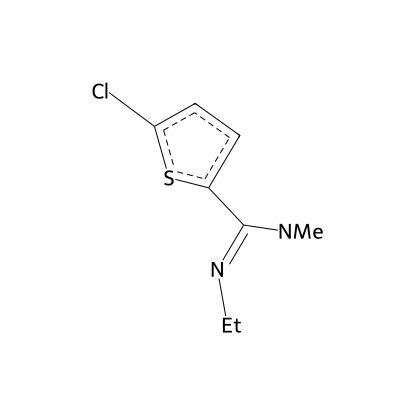 CC/N=C(\NC)c1ccc(Cl)s1